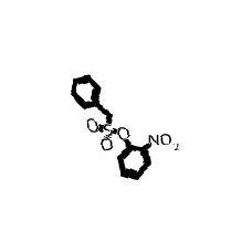 O=[N+]([O-])c1ccccc1OS(=O)(=O)Cc1ccccc1